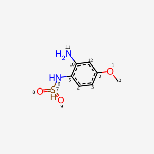 COc1ccc(N[SH](=O)=O)c(N)c1